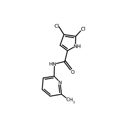 Cc1cccc(NC(=O)c2cc(Cl)c(Cl)[nH]2)n1